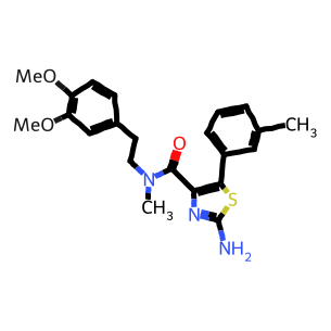 COc1ccc(CCN(C)C(=O)c2nc(N)sc2-c2cccc(C)c2)cc1OC